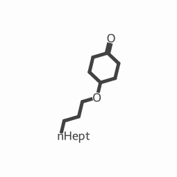 CCCCCCCCCCOC1CCC(=O)CC1